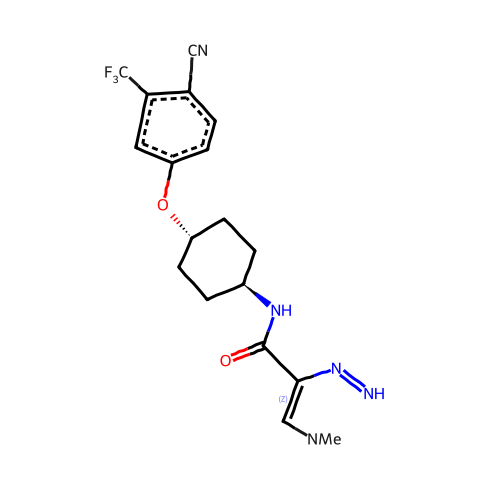 CN/C=C(\N=N)C(=O)N[C@H]1CC[C@H](Oc2ccc(C#N)c(C(F)(F)F)c2)CC1